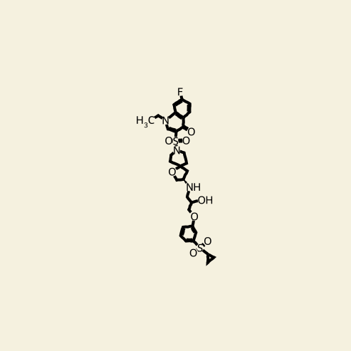 CCn1cc(S(=O)(=O)N2CCC3(CC2)C[C@@H](NCC(O)COc2cccc(S(=O)(=O)C4CC4)c2)CO3)c(=O)c2ccc(F)cc21